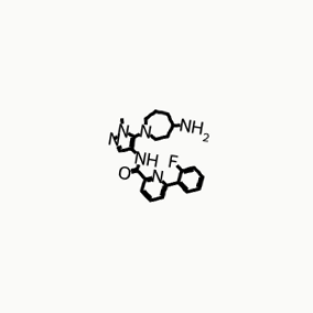 Cn1ncc(NC(=O)c2cccc(-c3ccccc3F)n2)c1N1CCCC(N)CC1